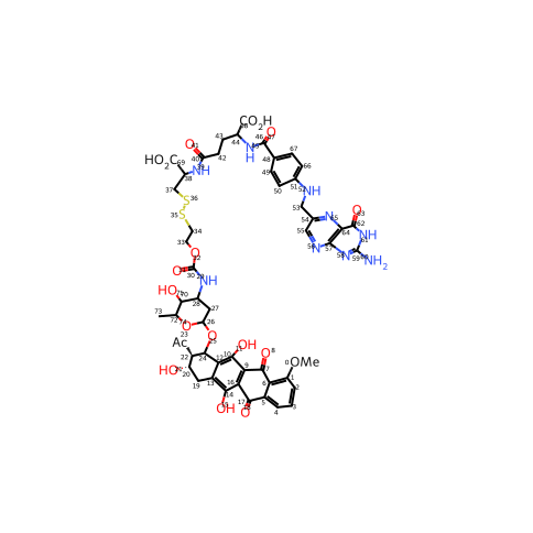 COc1cccc2c1C(=O)c1c(O)c3c(c(O)c1C2=O)C[C@H](O)[C@@H](C(C)=O)C3OC1CC(NC(=O)OCCSSCC(NC(=O)CCC(NC(=O)c2ccc(NCc3cnc4nc(N)[nH]c(=O)c4n3)cc2)C(=O)O)C(=O)O)C(O)C(C)O1